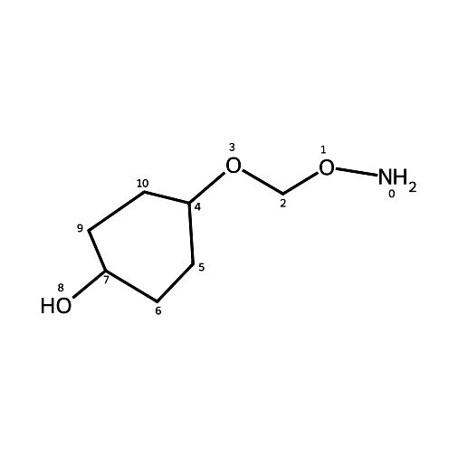 NOCOC1CCC(O)CC1